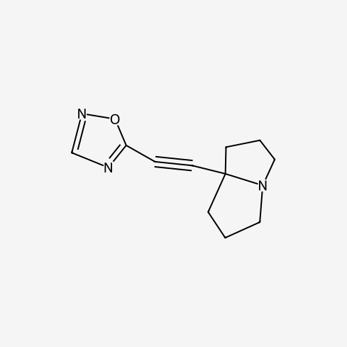 C(#CC12CCCN1CCC2)c1ncno1